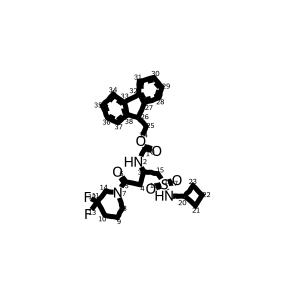 O=C(NC(CC(=O)N1CCCC(F)(F)C1)CS(=O)(=O)NC1CCC1)OCC1c2ccccc2-c2ccccc21